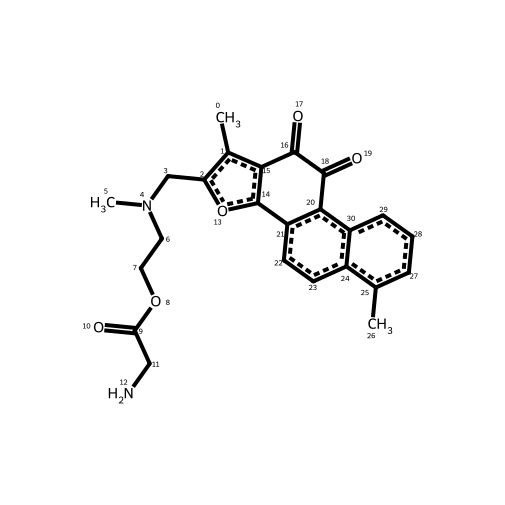 Cc1c(CN(C)CCOC(=O)CN)oc2c1C(=O)C(=O)c1c-2ccc2c(C)cccc12